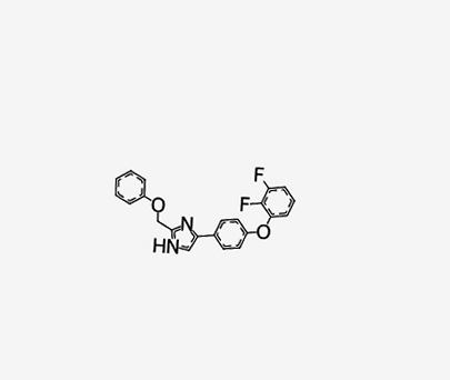 Fc1cccc(Oc2ccc(-c3c[nH]c(COc4ccccc4)n3)cc2)c1F